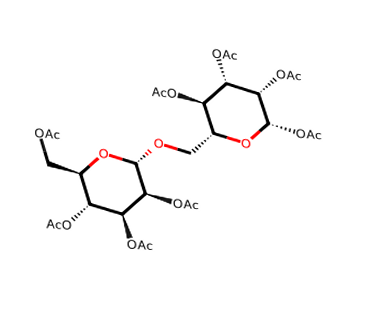 CC(=O)OC[C@H]1O[C@H](OC[C@H]2O[C@@H](OC(C)=O)[C@@H](OC(C)=O)[C@@H](OC(C)=O)[C@@H]2OC(C)=O)[C@@H](OC(C)=O)[C@@H](OC(C)=O)[C@@H]1OC(C)=O